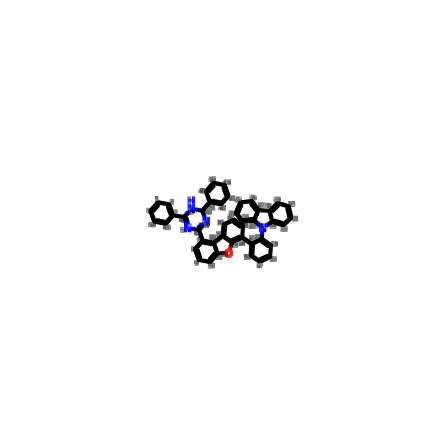 c1ccc(C2=NC(c3cccc4oc5c(-c6ccccc6-n6c7ccccc7c7ccccc76)cccc5c34)=NC(c3ccccc3)N2)cc1